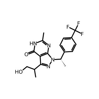 Cc1nc2c(c(C(C)CO)nn2[C@@H](C)c2ccc(C(F)(F)F)cc2)c(=O)[nH]1